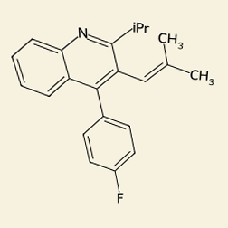 CC(C)=Cc1c(C(C)C)nc2ccccc2c1-c1ccc(F)cc1